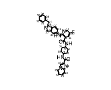 O=C(NC1CCC(NC(=O)c2cc(F)cnc2Nc2ccc3c(cnn3Cc3ccccc3)c2)CC1)c1cn2ccccc2n1